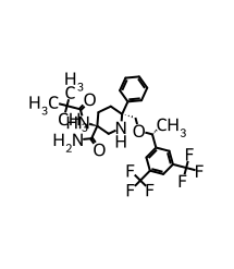 C[C@@H](OC[C@@]1(c2ccccc2)CC[C@@](NC(=O)C(C)(C)C)(C(N)=O)CN1)c1cc(C(F)(F)F)cc(C(F)(F)F)c1